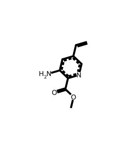 C=Cc1cnc(C(=O)OC)c(N)c1